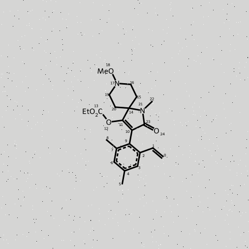 C=Cc1cc(C)cc(C)c1C1=C(OC(=O)OCC)C2(CCN(OC)CC2)N(C)C1=O